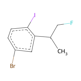 C[C](CF)c1cc(Br)ccc1I